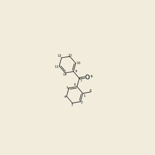 CC1=CCCC=C1C(=O)C1=CCCC=C1